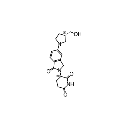 O=C1CC[C@@H](N2Cc3cc(N4CC[C@H](CO)C4)ccc3C2=O)C(=O)N1